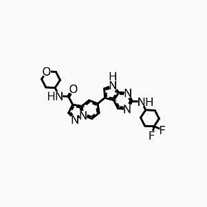 O=C(NC1CCOCC1)c1cnn2ccc(-c3c[nH]c4nc(NC5CCC(F)(F)CC5)ncc34)cc12